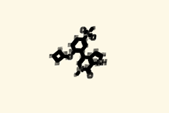 Cn1cc(-c2cc(S(C)(=O)=O)ccc2OC2CCC2)c2cc[nH]c2c1=O